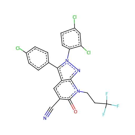 N#Cc1cc2c(-c3ccc(Cl)cc3)n(-c3ccc(Cl)cc3Cl)nc2n(CCC(F)(F)F)c1=O